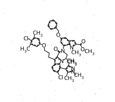 COC(=O)c1cc2cc(OCc3ccccc3)cc(N3C[C@@H](C)n4c(c(CCCOc5cc(C)c(Cl)c(C)c5)c5ccc(Cl)c(-c6c(C)nn(C)c6C)c54)C3=O)c2n1C